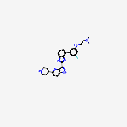 CN(C)CCNc1cc(F)cc(-c2cccc3[nH]c(-c4n[nH]c5ccc(C6CCNCC6)nc45)nc23)c1